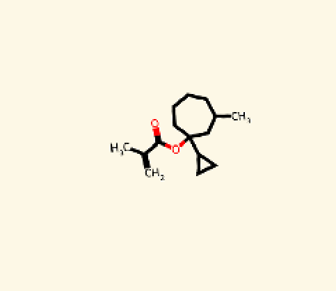 C=C(C)C(=O)OC1(C2CC2)CCCCC(C)C1